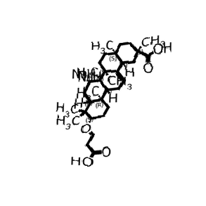 CC1(C)[C@@H](OCCC(=O)O)CC[C@]2(C)[C@H]3CC=C4[C@@H]5C[C@@](C)(C(=O)O)CC[C@]5(C)CC[C@@]4(C)[C@]3(C)CC[C@@H]12.[NaH].[NaH]